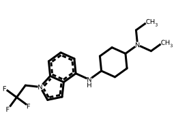 CCN(CC)C1CCC(Nc2cccc3c2ccn3CC(F)(F)F)CC1